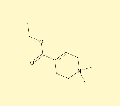 CCOC(=O)C1=CC[N+](C)(C)CC1